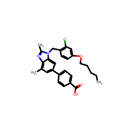 CCCCCOc1ccc(Cn2c(C)nc3c(C)cc(-c4ccc(C(=O)O)cc4)cc32)c(Cl)c1